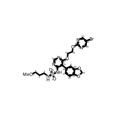 COCCCNS(=O)(=O)Nc1ncnc(OCCOc2ncc(Br)cn2)c1-c1ccc2c(c1)OCO2